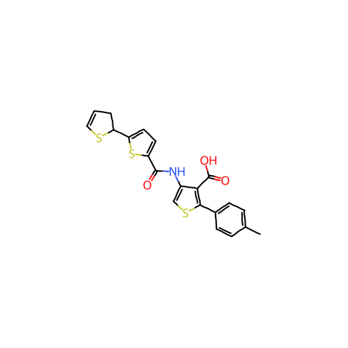 Cc1ccc(-c2scc(NC(=O)c3ccc(C4CC=CS4)s3)c2C(=O)O)cc1